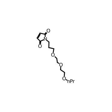 CCCOCCOCCOCCCN1C(=O)C=CC1=O